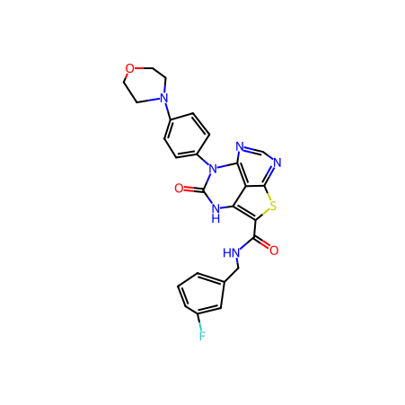 O=C(NCc1cccc(F)c1)c1sc2ncnc3c2c1NC(=O)N3c1ccc(N2CCOCC2)cc1